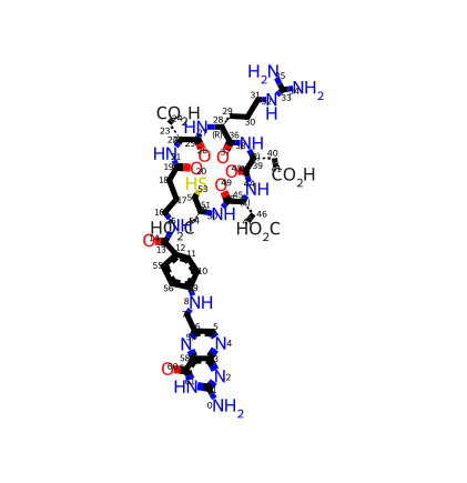 Nc1nc2ncc(CNc3ccc(C(=O)NCCCC(=O)N[C@H](CC(=O)O)C(=O)N[C@H](CCCNC(N)N)C(=O)N[C@H](CC(=O)O)C(=O)N[C@H](CC(=O)O)C(=O)N[C@@H](CS)C(=O)O)cc3)nc2c(=O)[nH]1